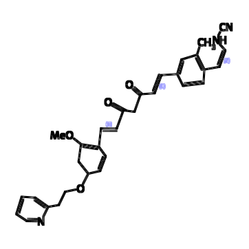 COC1=C(/C=C/C(=O)CC(=O)/C=C/c2ccc(/C=C\NC#N)c(C)c2)C=CC(OCCc2ccccn2)C1